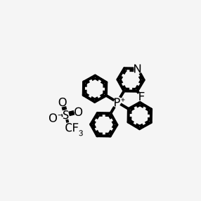 Fc1cnccc1[P+](c1ccccc1)(c1ccccc1)c1ccccc1.O=S(=O)([O-])C(F)(F)F